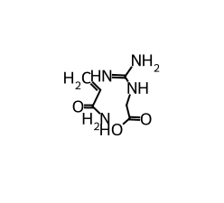 C=CC(N)=O.N=C(N)NCC(=O)O